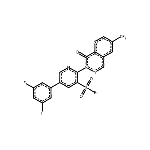 CCS(=O)(=O)c1cc(-c2cc(F)cc(F)c2)cnc1-n1ncc2cc(C(F)(F)F)cnc2c1=O